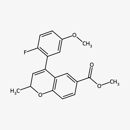 COC(=O)c1ccc2c(c1)C(c1cc(OC)ccc1F)=CC(C)O2